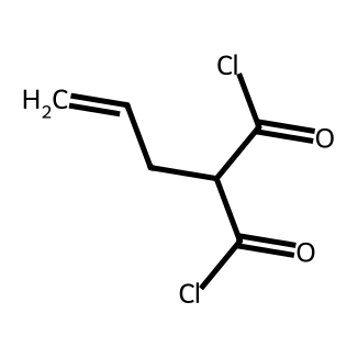 C=CCC(C(=O)Cl)C(=O)Cl